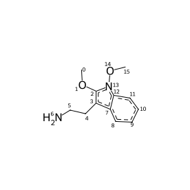 COc1c(CCN)c2ccccc2n1OC